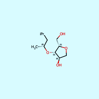 CC(C)C[C@@H](C)O[C@H]1[C@H](O)CO[C@H]1CO